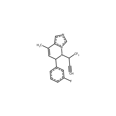 C#CC(N1C(c2cccc(F)c2)C=C(C)c2cncn21)C(F)(F)F